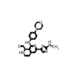 CNc1nc(-c2cc3c(c(Nc4ccc(N5CCOCC5)cc4)n2)C(C=O)NC=C3)cs1